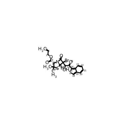 C=CCOC(=O)[C@@H]1N2C(=O)C(Br)(C(O)C(=O)c3scc4ccccc34)[C@H]2SC1(C)C